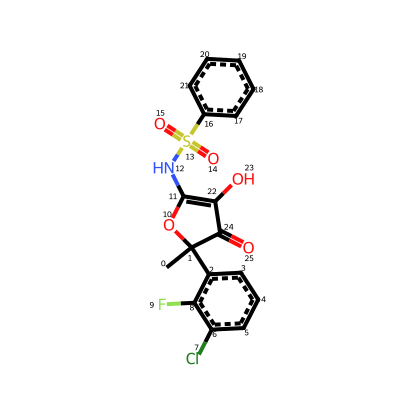 CC1(c2cccc(Cl)c2F)OC(NS(=O)(=O)c2ccccc2)=C(O)C1=O